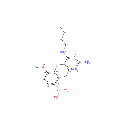 CCCCNc1nc(N)nc(C)c1Cc1cc(B(O)O)ccc1OC